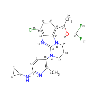 Cc1nc(NC2CC2)ccc1N1CCCn2c1nc1c(Cl)ccc(C(OC(F)F)C(F)(F)F)c12